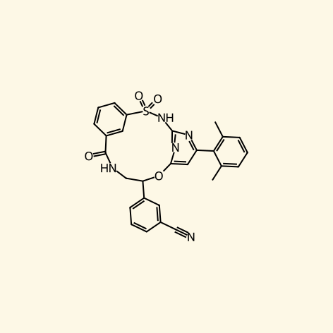 Cc1cccc(C)c1-c1cc2nc(n1)NS(=O)(=O)c1cccc(c1)C(=O)NCC(c1cccc(C#N)c1)O2